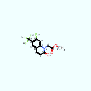 COC(=O)Cn1c(=O)ccc2cc(C(F)(F)F)c(F)cc21